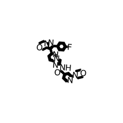 O=C(Nc1cn2nc(-c3c(-c4ccc(F)cc4)nn4c3COCC4)ccc2n1)c1ccnc(N2CCOCC2)c1